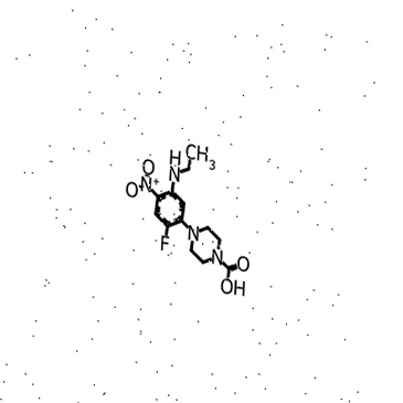 CCNc1cc(N2CCN(C(=O)O)CC2)c(F)cc1[N+](=O)[O-]